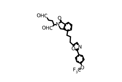 O=CCCC(C=O)N1Cc2c(CCCc3cnc(-c4ccc(OC(F)(F)F)cc4)o3)cccc2C1=O